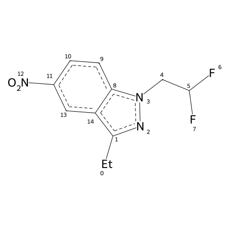 CCc1nn(CC(F)F)c2ccc([N+](=O)[O-])cc12